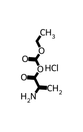 C=C(N)C(=O)OC(=O)OCC.Cl